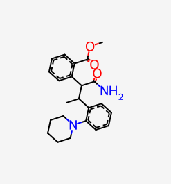 COC(=O)c1ccccc1C(C(N)=O)C(C)c1ccccc1N1CCCCC1